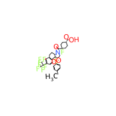 CCc1ccc(S(=O)(=O)C23CCN(C(=O)[C@]4(F)CC[C@@H](C(=O)O)CC4)C2CCc2cc(C(F)(C(F)(F)F)C(F)(F)F)ccc23)cc1